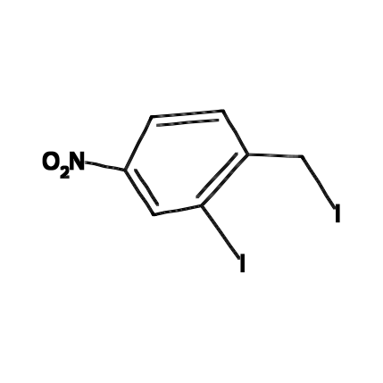 O=[N+]([O-])c1ccc(CI)c(I)c1